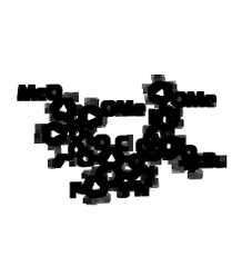 C=CCOC[C@H](COC(c1ccccc1)(c1ccc(OC)cc1)c1ccc(OC)cc1)Oc1c(Cl)c(C)c(-c2c(-c3ccc(F)cc3)sc3ncnc(OC(Cc4cc(O[Si](C)(C)C(C)(C)C)ccc4OCc4ccnc(-c5ccccc5OC)n4)C(=O)O)c23)c(C)c1Cl